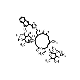 CC[C@H]1OC(=O)CC[C@H](C)[C@@H](O[C@@H]2OC[C@H](C)C(O)C(N(C)C)C2O)[C@@H](CCn2cc(-c3cnc4ccccc4c3)nn2)C[C@@H](C)C(=O)/C=C/C(C)=C/[C@@H]1CO[C@]1(C)OC(C)C(O)C(OC)[C@@H]1OC